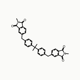 CN1C(=O)c2ccc(Cc3ccc(C(C)(C)c4ccc(Cc5ccc6c(c5)C(=O)N(C)C6=O)cc4)cc3)cc2C1=O